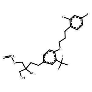 NC(CO)(CCc1ccc(OCCCc2ccc(F)cc2F)c(C(F)(F)F)c1)CO[PH2]=O